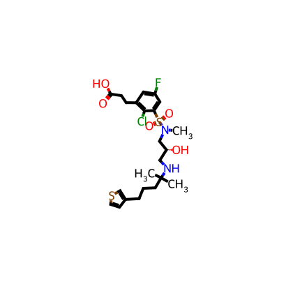 CN(C[C@H](O)CNC(C)(C)CCCc1ccsc1)S(=O)(=O)c1cc(F)cc(CCC(=O)O)c1Cl